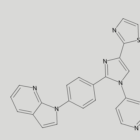 c1cnc2c(c1)ccn2-c1ccc(-c2nc(-c3nccs3)cn2-c2ccncc2)cc1